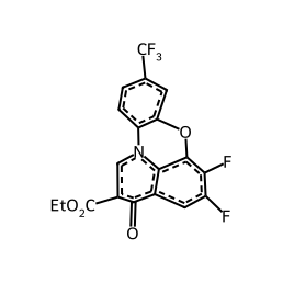 CCOC(=O)c1cn2c3c(c(F)c(F)cc3c1=O)Oc1cc(C(F)(F)F)ccc1-2